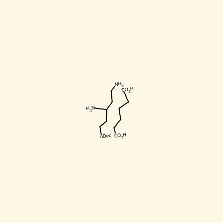 CCCCCCCCCCCCC(N)CCN.O=C(O)CCCCC(=O)O